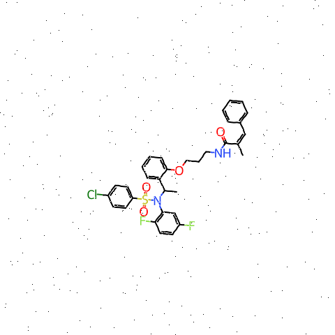 CC(=Cc1ccccc1)C(=O)NCCCOc1ccccc1C(C)N(c1cc(F)ccc1F)S(=O)(=O)c1ccc(Cl)cc1